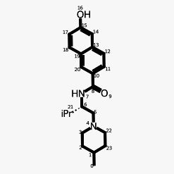 CC1CCN(C[C@@H](NC(=O)c2ccc3cc(O)ccc3c2)C(C)C)CC1